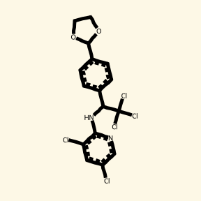 Clc1cnc(NC(c2ccc(C3OCCO3)cc2)C(Cl)(Cl)Cl)c(Cl)c1